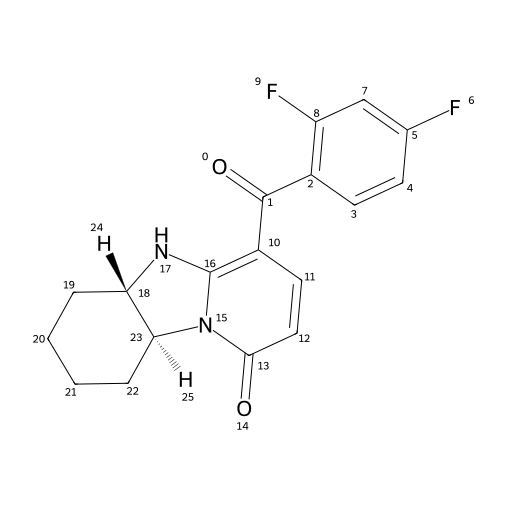 O=C(c1ccc(F)cc1F)c1ccc(=O)n2c1N[C@H]1CCCC[C@@H]12